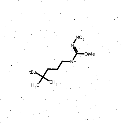 CO/C(=N\[N+](=O)[O-])NCCCC(C)(C)C(C)(C)C